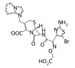 Nc1nc(/C(=N/OCC(=O)O)C(=O)N[C@@H]2C(=O)N3C(C(=O)[O-])=C(Cn4cc[n+]5ccccc45)CS[C@H]23)c(Br)s1